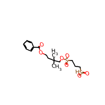 CC(C)(CCOC(=O)c1ccccc1)COS(=O)(=O)CCC[SH](=O)=O